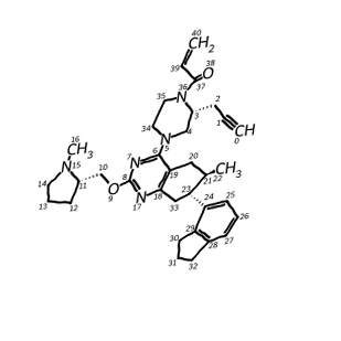 C#CC[C@@H]1CN(c2nc(OC[C@@H]3CCCN3C)nc3c2C[C@@H](C)[C@H](c2cccc4c2CCC4)C3)CCN1C(=O)C=C